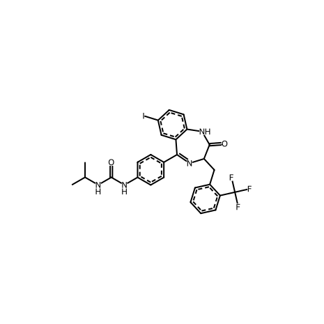 CC(C)NC(=O)Nc1ccc(C2=NC(Cc3ccccc3C(F)(F)F)C(=O)Nc3ccc(I)cc32)cc1